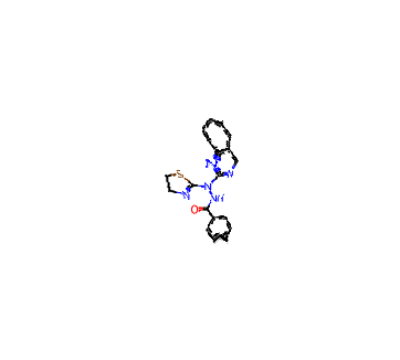 O=C(NN(C1=NCCS1)c1ncc2ccccc2n1)c1ccccc1